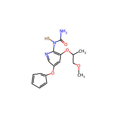 COCC(C)Oc1cc(Oc2ccccc2)cnc1N(S)C(N)=O